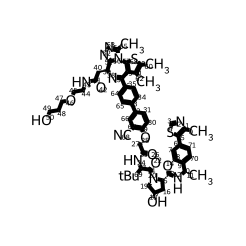 Cc1ncsc1-c1ccc([C@H](C)NC(=O)[C@@H]2C[C@@H](O)CN2C(=O)C(NC(=O)COc2ccc(-c3ccc(C4=N[C@@H](CC(=O)NCCOCCCO)c5nnc(C)n5-c5sc(C)c(C)c54)cc3)cc2C#N)C(C)(C)C)cc1